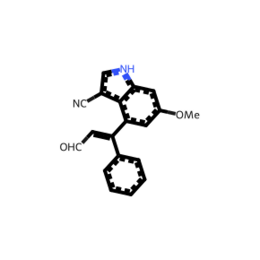 COc1cc(/C(=C/C=O)c2ccccc2)c2c(C#N)c[nH]c2c1